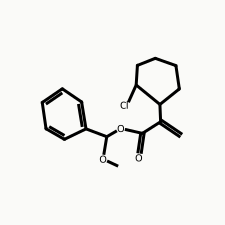 C=C(C(=O)OC(OC)c1ccccc1)C1CCCCC1Cl